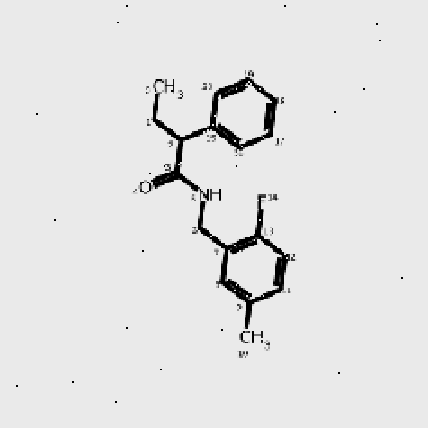 CCC(C(=O)NCc1cc(C)ccc1F)c1ccccc1